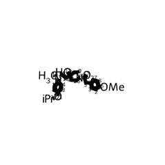 COc1ccc(CC(=O)N2CCC(O)(CCN(C)c3ccc(OC(C)C)cc3)CC2)cc1